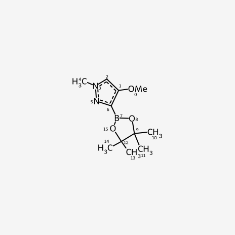 COc1cn(C)nc1B1OC(C)(C)C(C)(C)O1